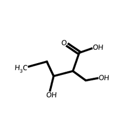 CCC(O)C(CO)C(=O)O